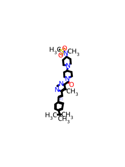 Cc1c(/C=C/c2ccc(C(C)(C)C)cc2)ncnc1C(=O)N1CCC(N2CCC(N(C)S(C)(=O)=O)CC2)CC1